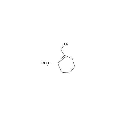 CCOC(=O)C1=C(CC#N)CCCC1